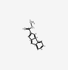 COC(=O)C1=CC2=Cc3ccccc3C2=C1